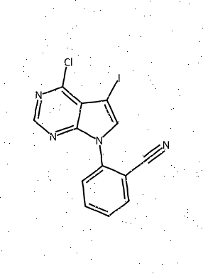 N#Cc1ccccc1-n1cc(I)c2c(Cl)ncnc21